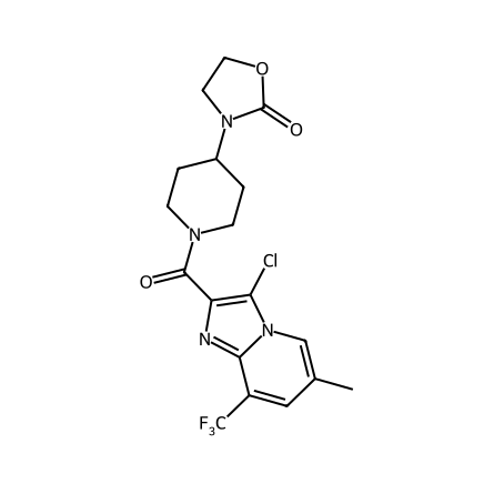 Cc1cc(C(F)(F)F)c2nc(C(=O)N3CCC(N4CCOC4=O)CC3)c(Cl)n2c1